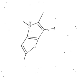 CC1=C(I)c2sc(C)cc2[SiH]1C